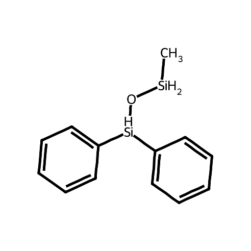 C[SiH2]O[SiH](c1ccccc1)c1ccccc1